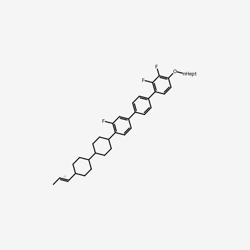 C/C=C/C1CCC(C2CCC(c3ccc(-c4ccc(-c5ccc(OCCCCCCC)c(F)c5F)cc4)cc3F)CC2)CC1